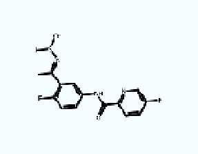 C/C(=N\[S+]([O-])I)c1cc(NC(=O)c2ccc(F)cn2)ccc1F